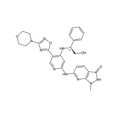 Cn1[nH]c(=O)c2ccc(Nc3cc(N[C@H](CO)c4ccccc4)c(-c4nc(N5CCOCC5)no4)cn3)nc21